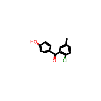 Cc1ccc(Cl)c(C(=O)c2ccc(O)cc2)c1